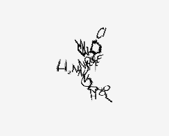 CCCOC(=O)[C@@H]1CC2(CCN(c3cc(O[C@H](c4ccc(Cl)cc4-n4ccc(C)n4)C(F)(F)F)nc(N)n3)CC2)CN1